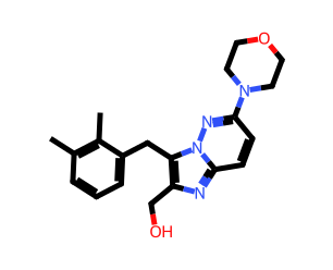 Cc1cccc(Cc2c(CO)nc3ccc(N4CCOCC4)nn23)c1C